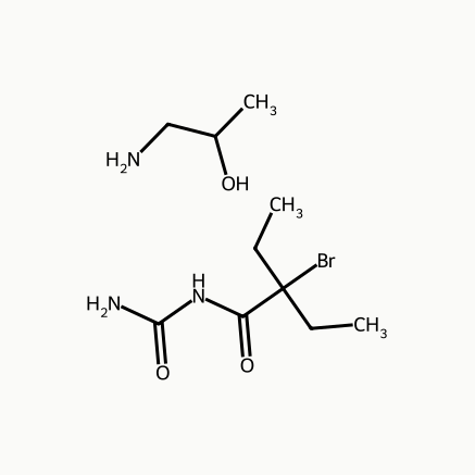 CC(O)CN.CCC(Br)(CC)C(=O)NC(N)=O